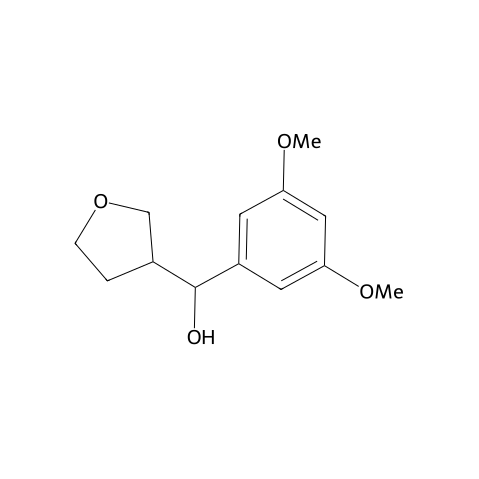 COc1cc(OC)cc(C(O)C2CCOC2)c1